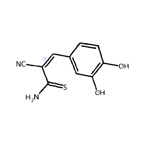 N#C/C(=C/c1ccc(O)c(O)c1)C(N)=S